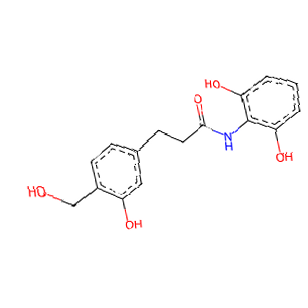 O=C(CCc1ccc(CO)c(O)c1)Nc1c(O)cccc1O